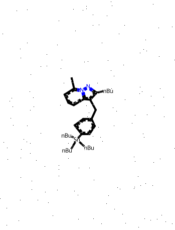 CCCCc1nn2c(C)cccc2c1Cc1cc[c]([Sn]([CH2]CCC)([CH2]CCC)[CH2]CCC)cc1